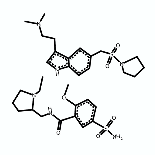 CCN1CCCC1CNC(=O)c1cc(S(N)(=O)=O)ccc1OC.CN(C)CCc1c[nH]c2ccc(CS(=O)(=O)N3CCCC3)cc12